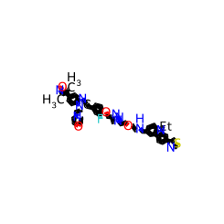 CCn1c2ccc(CNCCOCCn3cc(COc4ccc(CCc5nc6cc(-c7c(C)noc7C)ccc6n5CCN5CCOCC5)cc4F)nn3)cc2c2ccc(-c3cscn3)cc21